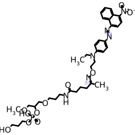 CCN(CCO/N=C(\C)CCCC(=O)NCCCOCC(COC)OP(=O)(O)OCCCO)c1ccc(/N=N/c2ccc([N+](=O)[O-])c3ccccc23)cc1